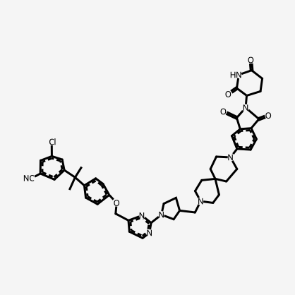 CC(C)(c1ccc(OCc2ccnc(N3CCC(CN4CCC5(CC4)CCN(c4ccc6c(c4)C(=O)N(C4CCC(=O)NC4=O)C6=O)CC5)C3)n2)cc1)c1cc(Cl)cc(C#N)c1